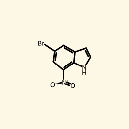 O=[N+]([O-])c1cc(Br)cc2cc[nH]c12